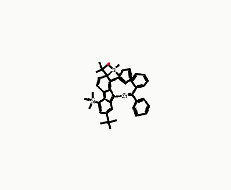 CC(C)(C)c1cc([Si](C)(C)C)c2c(c1)=[C]([Zr]=[C](c1ccccc1)c1ccccc1)C1=C(C3=CC=CC3)C(C(C)(C)C)([Si](C)(C)C)C=CC=21